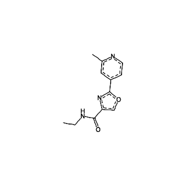 CCNC(=O)c1coc(-c2ccnc(C)c2)n1